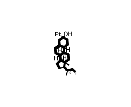 CC[C@]1(O)CC[C@H]2C(=CC[C@@H]3[C@@H]2CC[C@]2(C)[C@@H]([C@H](C)CI)CC[C@@H]32)C1